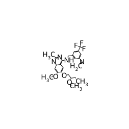 C=Nc1cc(CNc2nc(C)nc3cc(OC)c(OCC(CC)OC)cc23)cc(C(F)(F)F)c1